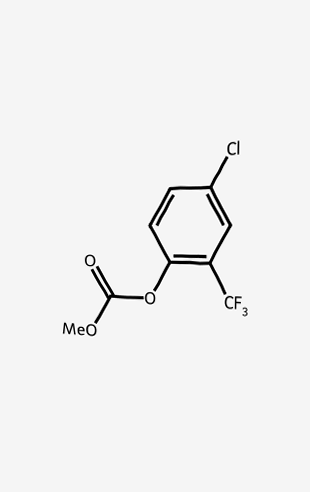 COC(=O)Oc1ccc(Cl)cc1C(F)(F)F